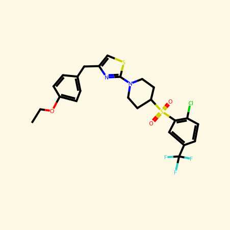 CCOc1ccc(Cc2csc(N3CCC(S(=O)(=O)c4cc(C(F)(F)F)ccc4Cl)CC3)n2)cc1